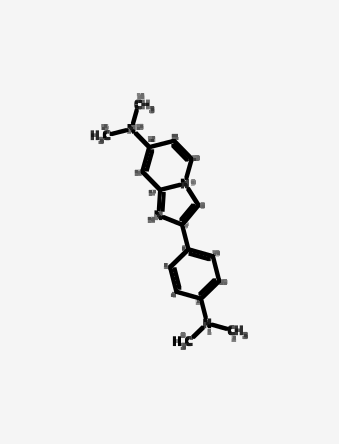 CN(C)c1ccc(-c2cn3ccc(N(C)C)cc3n2)cc1